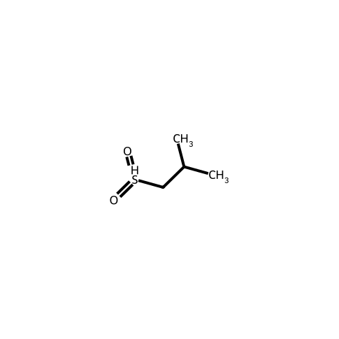 CC(C)C[SH](=O)=O